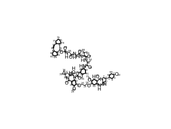 COc1ccc(C2=CN3C(O)c4cc(OC)c(OCCCOc5cc6c(cc5OC)C(=O)N5CC7(CC7)C[C@H]5C(O)N6C(=O)OCc5ccc(NC(=O)[C@H](C)NC(=O)[C@@H](NC(=O)CNC(=O)CNC(=O)OC6Cc7ccccc7C#Cc7ccccc76)C(C)C)cc5)cc4NC[C@@H]3C2)cc1